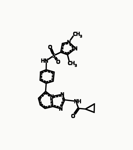 Cc1nn(C)cc1S(=O)(=O)Nc1ccc(-c2cccc3nc(NC(=O)C4CC4)nn23)cc1